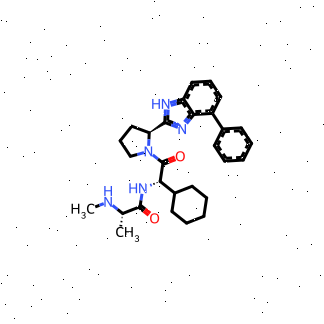 CN[C@@H](C)C(=O)N[C@H](C(=O)N1CCC[C@H]1c1nc2c(-c3ccccc3)cccc2[nH]1)C1CCCCC1